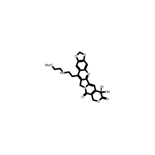 CC[C@@]1(O)C(=O)OCc2c1cc1n(c2=O)Cc2c-1nc1cc3c(cc1c2CCNCCOC)OCO3